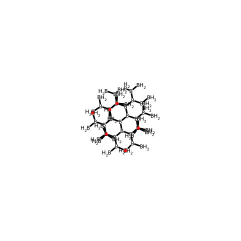 BBB(B(B)B)B(B(B(B)B)B(B)B)B(B(B(B)B)B(B)B)B(B(B(B(B)B)B(B)B)B(B(B)B)B(B)B)B(B(B(B)B)B(B)B)B(B(B)B)B(B)B